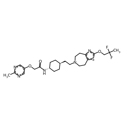 Cc1ncc(OCC(=O)N[C@H]2CC[C@H](CCN3CCc4nc(OCC(C)(F)F)sc4CC3)CC2)cn1